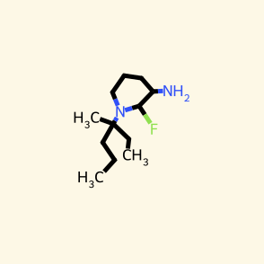 CCCC(C)(CC)N1CCCC(N)C1F